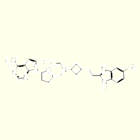 CC(C)(C)c1ccc2[nH]c(CC[C@H]3C[C@@H](N(C[C@@H]4CC[C@H](n5ccc6c(N)ncnc65)O4)CC(F)(F)F)C3)nc2c1